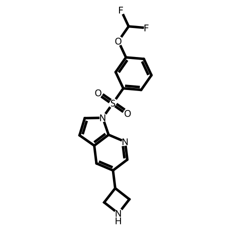 O=S(=O)(c1cccc(OC(F)F)c1)n1ccc2cc(C3CNC3)cnc21